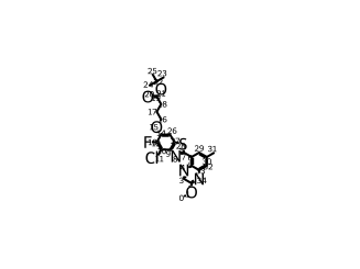 COc1cnc2c(-c3nc4c(Cl)c(F)c(OCCCC(=O)OC(C)(C)C)cc4s3)cc(C)cc2n1